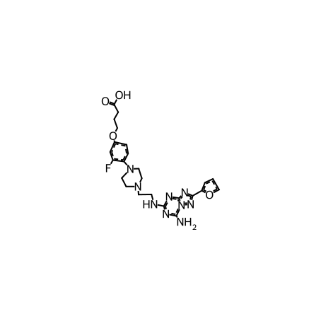 Nc1nc(NCCN2CCN(c3ccc(OCCCC(=O)O)cc3F)CC2)nc2nc(-c3ccco3)nn12